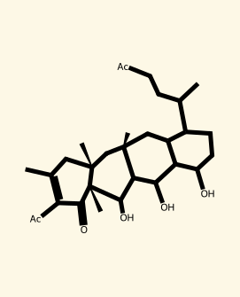 CC(=O)CCC(C)C1CCC(O)C2C(O)C3C(O)[C@]4(C)C(=O)C(C(C)=O)=C(C)C[C@]4(C)C[C@]3(C)CC12